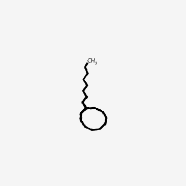 CCCCCCCCC1CCCCCCCCC1